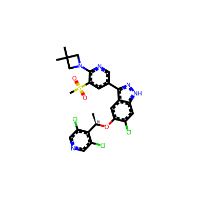 C[C@@H](Oc1cc2c(-c3cnc(N4CC(C)(C)C4)c(S(C)(=O)=O)c3)n[nH]c2cc1Cl)c1c(Cl)cncc1Cl